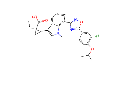 CC[C@@]1(C(=O)O)C[C@@H]1c1cn(C)c2c(-c3noc(-c4ccc(OC(C)C)c(Cl)c4)n3)cccc12